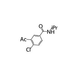 CC(=O)c1cc(C(=O)NC(C)C)ccc1Cl